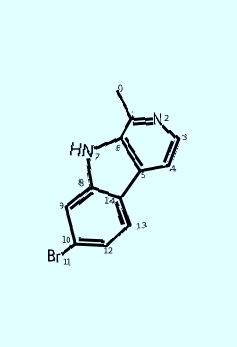 Cc1nccc2c1[nH]c1cc(Br)ccc12